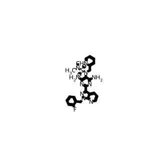 CN(C)S(=O)(=O)N(Cc1ccccn1)c1c(N)nc(-c2nn(Cc3ccccc3F)c3ncccc23)nc1N